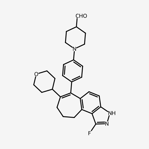 O=CC1CCN(c2ccc(C3=C(C4CCOCC4)CCCc4c3ccc3[nH]nc(F)c43)cc2)CC1